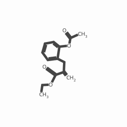 C=C(Cc1ccccc1OC(C)=O)C(=O)OCC